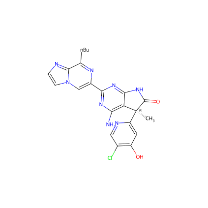 CCCCc1nc(-c2nc(N)c3c(n2)NC(=O)[C@@]3(C)c2cc(O)c(Cl)cn2)cn2ccnc12